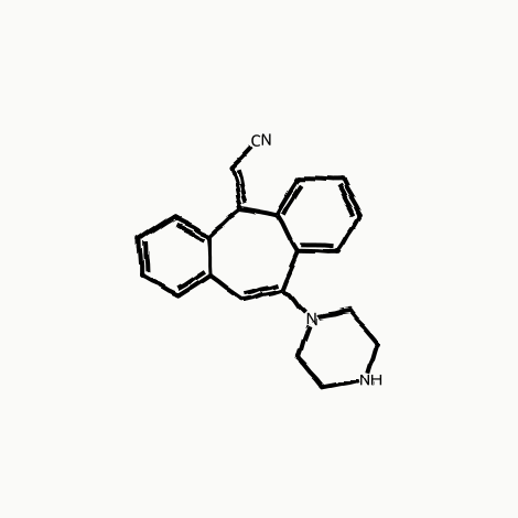 N#CC=C1c2ccccc2C=C(N2CCNCC2)c2ccccc21